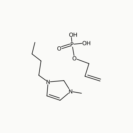 C=CCOP(=O)(O)O.CCCCN1C=CN(C)C1